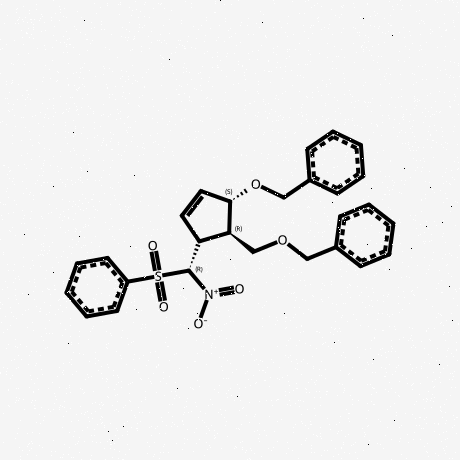 O=[N+]([O-])[C@@H](C1C=C[C@H](OCc2ccccc2)[C@H]1COCc1ccccc1)S(=O)(=O)c1ccccc1